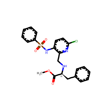 COC(=O)[C@H](Cc1ccccc1)NCc1nc(Cl)ccc1NS(=O)(=O)c1ccccc1